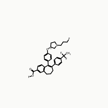 CC(F)(F)c1ccc(C2=C(c3ccc(O[C@H]4CCN(CCCF)C4)cc3)c3ccc(C(=O)OF)cc3CCC2)cc1